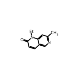 CCn1c(=O)ccc2cnc(C)cc21